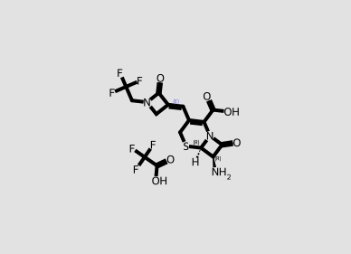 N[C@@H]1C(=O)N2C(C(=O)O)=C(/C=C3\CN(CC(F)(F)F)C3=O)CS[C@H]12.O=C(O)C(F)(F)F